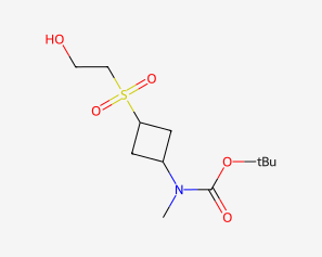 CN(C(=O)OC(C)(C)C)C1CC(S(=O)(=O)CCO)C1